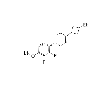 CCOc1ccc(C2CCC(C3CC(CC)C3)CC2)c(F)c1F